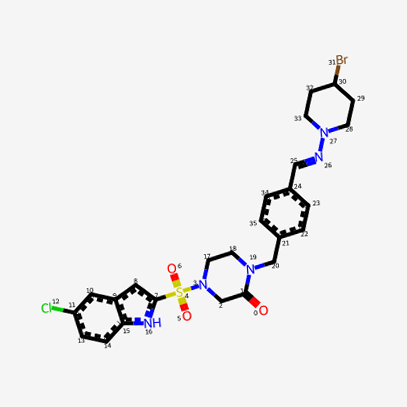 O=C1CN(S(=O)(=O)c2cc3cc(Cl)ccc3[nH]2)CCN1Cc1ccc(C=NN2CCC(Br)CC2)cc1